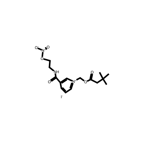 CC(C)(C)CC(=O)OC[n+]1cccc(C(=O)NCCO[N+](=O)[O-])c1.[I-]